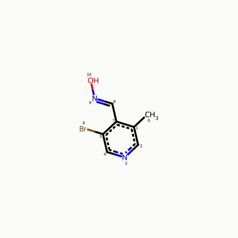 Cc1cncc(Br)c1C=NO